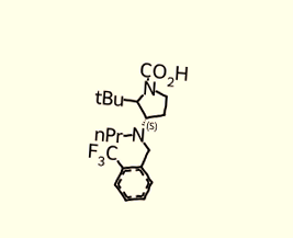 CCCN(Cc1ccccc1C(F)(F)F)[C@H]1CCN(C(=O)O)C1C(C)(C)C